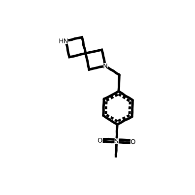 CS(=O)(=O)c1ccc(CN2CC3(CNC3)C2)cc1